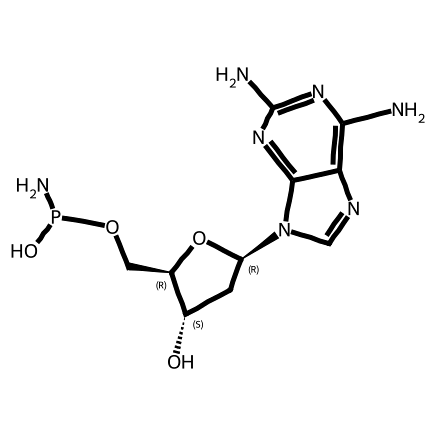 Nc1nc(N)c2ncn([C@H]3C[C@H](O)[C@@H](COP(N)O)O3)c2n1